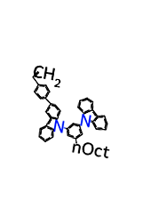 C=Cc1ccc(-c2ccc3c(c2)c2ccccc2n3-c2cc(CCCCCCCC)cc(-n3c4ccccc4c4ccccc43)c2)cc1